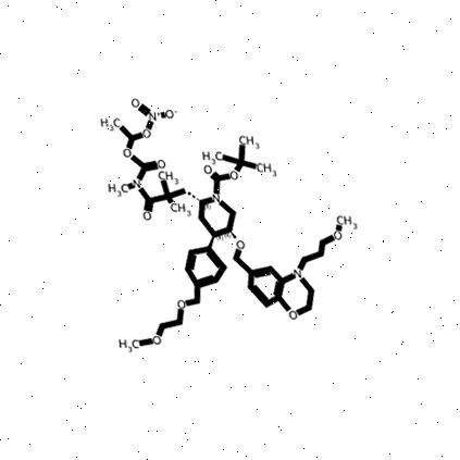 COCCCN1CCOc2ccc(CO[C@H]3CN(C(=O)OC(C)(C)C)[C@@H](CC(C)(C)C(=O)N(C)C(=O)OC(C)O[N+](=O)[O-])C[C@@H]3c3ccc(COCCOC)cc3)cc21